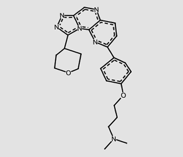 CN(C)CCCOc1ccc(-c2ccc3ncc4nnc(C5CCOCC5)n4c3n2)cc1